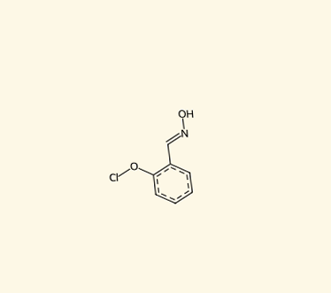 ON=Cc1ccccc1OCl